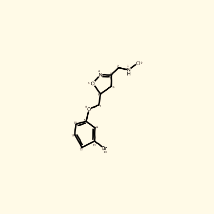 ClNCC1=NOC(COc2cccc(Br)c2)C1